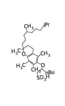 CCCCC(CS(=O)(=O)O)Oc1c(C)c(C)c2c(c1C)CCC(C)(CCCC(C)CCCC(C)C)O2